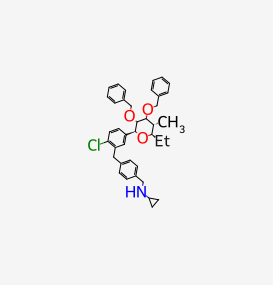 CC[C@H]1O[C@@H](c2ccc(Cl)c(Cc3ccc(CNC4CC4)cc3)c2)[C@H](OCc2ccccc2)[C@@H](OCc2ccccc2)[C@@H]1C